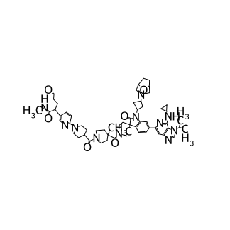 CNC(=O)C(CCC=O)c1ccc(N2CCC(C(=O)N3CCC(C)(C(=O)N4CCC5(CC4)C(=O)N(C4CC(N6CC7CCC(C6)O7)C4)c4cc(-c6cc7ncn(C(C)C)c7c(NC7CC7)n6)ccc45)CC3)CC2)nc1